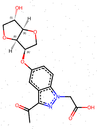 CC(=O)c1nn(CC(=O)O)c2ccc(O[C@@H]3CO[C@H]4[C@@H]3OC[C@@H]4O)cc12